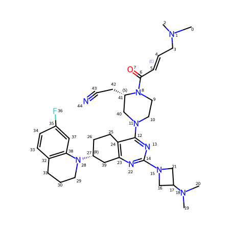 CN(C)C/C=C/C(=O)N1CCN(c2nc(N3CC(N(C)C)C3)nc3c2CC[C@@H](N2CCCc4ccc(F)cc42)C3)C[C@@H]1CC#N